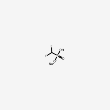 O=P([O-])(O)C(F)F.[Na+]